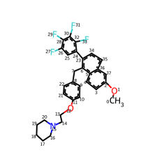 COc1ccc2c(Cc3ccc(OCCN4CCCCC4)cc3)c(-c3cc(F)c(F)c(F)c3F)ccc2c1